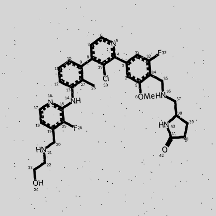 COc1cc(-c2nccc(-c3cccc(Nc4nccc(CNCCO)c4F)c3C)c2Cl)cc(F)c1CNCC1CCC(=O)N1